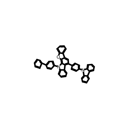 c1ccc(-c2ccc(-n3c4ccccc4c4c(-c5ccc(-n6c7ccccc7c7ccccc76)cc5)cc5c6ccccc6oc5c43)cc2)cc1